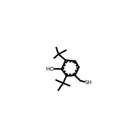 CC(C)(C)c1ccc(CS)c(C(C)(C)C)c1O